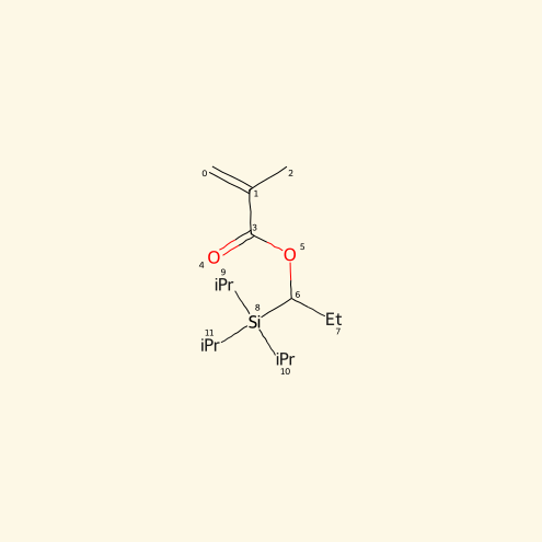 C=C(C)C(=O)OC(CC)[Si](C(C)C)(C(C)C)C(C)C